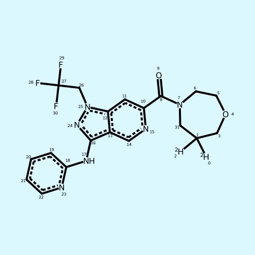 [2H]C1([2H])COCCN(C(=O)c2cc3c(cn2)c(Nc2ccccn2)nn3CC(F)(F)F)C1